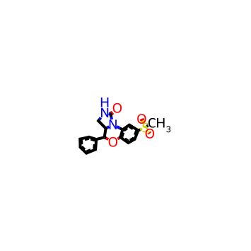 CS(=O)(=O)c1ccc2c(c1)N1C(=O)NCC1C(c1ccccc1)O2